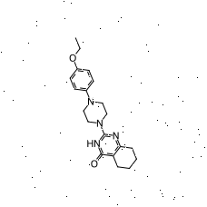 CCOc1ccc(N2CCN(c3nc4c(c(=O)[nH]3)CCCC4)CC2)cc1